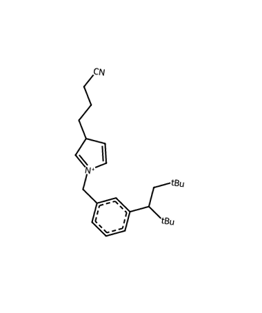 CC(C)(C)CC(c1cccc(C[N+]2=CC(CCCC#N)C=C2)c1)C(C)(C)C